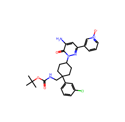 CC(C)(C)OC(=O)NCC1(c2cccc(Cl)c2)CCC(n2nc(-c3ccc[n+]([O-])c3)cc(N)c2=O)CC1